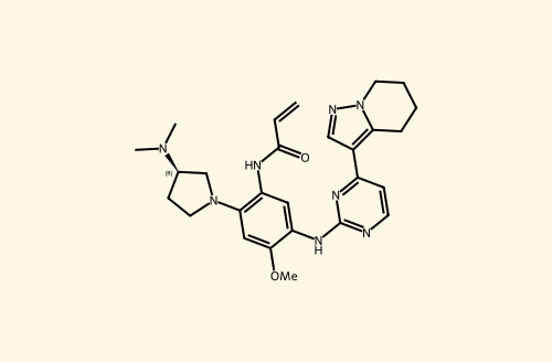 C=CC(=O)Nc1cc(Nc2nccc(-c3cnn4c3CCCC4)n2)c(OC)cc1N1CC[C@@H](N(C)C)C1